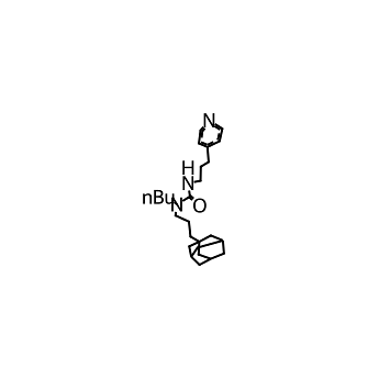 CCCCN(CCCC12CC3CC(CC(C3)C1)C2)C(=O)NCCCc1ccncc1